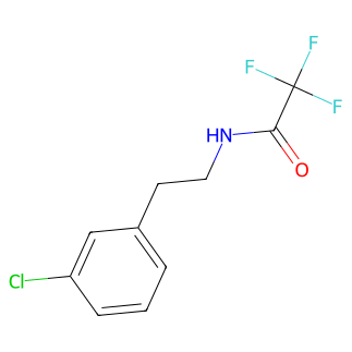 O=C(NCCc1cccc(Cl)c1)C(F)(F)F